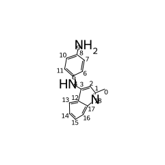 Cc1cc(Nc2ccc(N)cc2)c2ccccc2n1